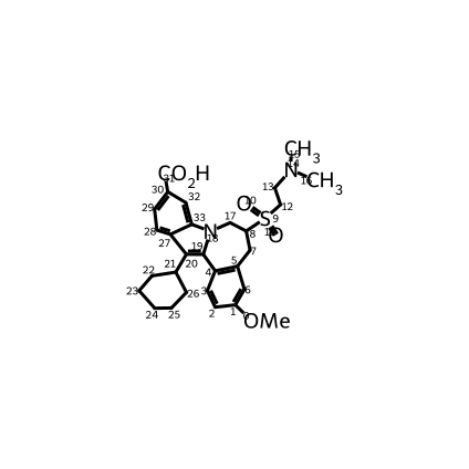 COc1ccc2c(c1)CC(S(=O)(=O)CCN(C)C)Cn1c-2c(C2CCCCC2)c2ccc(C(=O)O)cc21